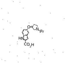 CC(C)N1CC[C@H](Oc2ccc3[nH]c(C(=O)O)cc3c2)C1